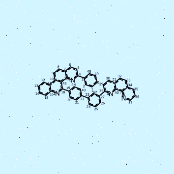 c1ccc(-c2ccc3ccc4c5ccccc5nc(-c5ccc(-c6cccc(-c7ccc8ccc9cccnc9c8n7)c6)cc5)c4c3n2)cc1